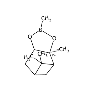 CB1OC2CC3CC(C3(C)C)[C@]2(C)O1